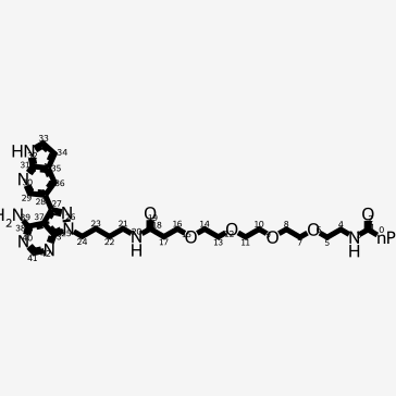 CCCC(=O)NCCOCCOCCOCCOCCC(=O)NCCCCn1nc(-c2cnc3[nH]ccc3c2)c2c(N)ncnc21